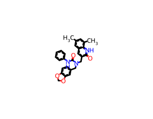 Cc1cc(C)c2[nH]c(=O)c(CN(Cc3ccc4c(c3)OCO4)C(=O)Nc3ccccc3)cc2c1